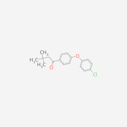 CC(C)(C)CC(=O)c1ccc(Oc2ccc(Cl)cc2)cc1